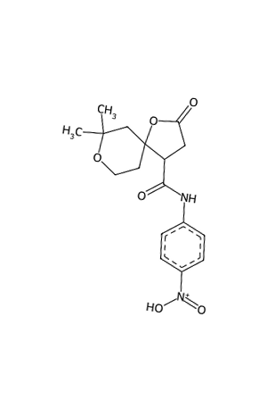 CC1(C)CC2(CCO1)OC(=O)CC2C(=O)Nc1ccc([N+](=O)O)cc1